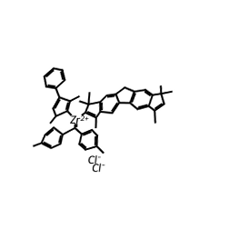 CC1=CC(C)(C)c2cc3c(cc21)-c1cc2c(cc1C3)C(C)(C)[C]([Zr+2]([C]1=C(C)C(c3ccccc3)=CC1C)=[C](c1ccc(C)cc1)c1ccc(C)cc1)=C2C.[Cl-].[Cl-]